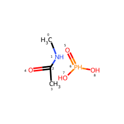 CNC(C)=O.O=[PH](O)O